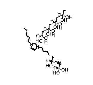 CCCCCN1C=CN(CCCC)C1.O=P(O)(O)F.O=P(O)(O)F.O=P(O)(O)F.O=P(O)(O)F.O=P(O)(O)F.O=P(O)(O)F